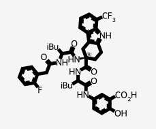 CCC(C)C(NC(=O)Cc1ccccc1F)C(=O)N[C@]1(C(=O)NC(C(=O)Nc2ccc(O)c(C(=O)O)c2)C(C)CC)CCc2[nH]c3c(C(F)(F)F)cccc3c2C1